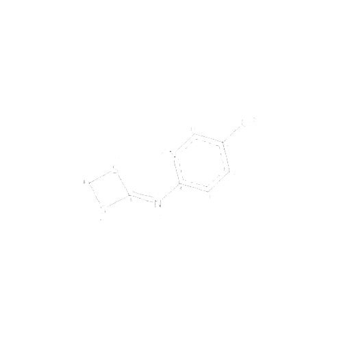 Clc1ccc(N=C2SCS2)nc1